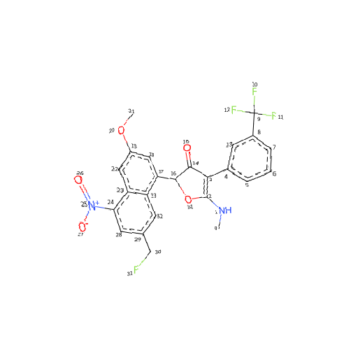 CNC1=C(c2cccc(C(F)(F)F)c2)C(=O)C(c2cc(OC)cc3c([N+](=O)[O-])cc(CF)cc23)O1